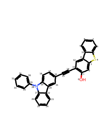 Oc1cc2sc3ccccc3c2cc1C#Cc1ccc2c(c1)c1ccccc1n2-c1ccccc1